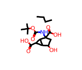 CC(C)(C)OC(=O)NC1(C(=O)O)CC(O)C2C(C(=O)O)C21.CCCC